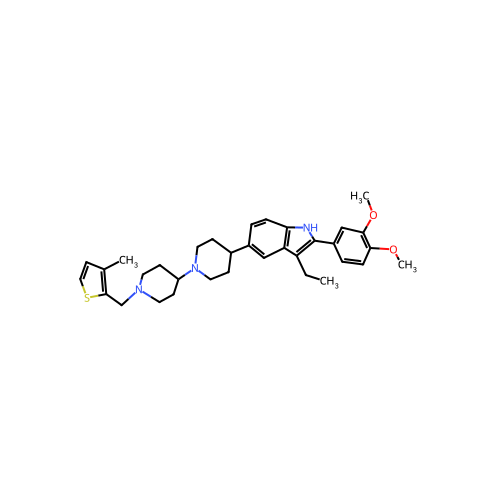 CCc1c(-c2ccc(OC)c(OC)c2)[nH]c2ccc(C3CCN(C4CCN(Cc5sccc5C)CC4)CC3)cc12